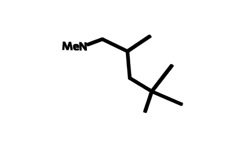 CNCC(C)CC(C)(C)C